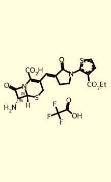 CCOC(=O)c1ccsc1N1CCC(=CC2=C(C(=O)O)N3C(=O)[C@@H](N)[C@H]3SC2)C1=O.O=C(O)C(F)(F)F